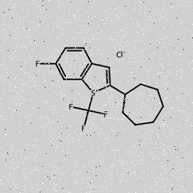 Fc1ccc2cc(C3CCCCCC3)[s+](C(F)(F)F)c2c1.[Cl-]